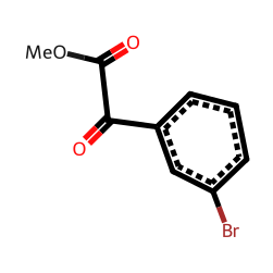 COC(=O)C(=O)c1cccc(Br)c1